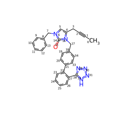 CC#CCc1cn(Cc2ccccc2)c(=O)n1Cc1ccc(-c2ccccc2-c2nnn[nH]2)cc1